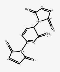 C=C1C=C(N2C(=O)C=CC2=O)C=CC1N1C(=O)C=CC1=O